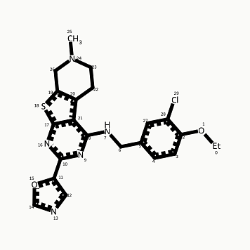 CCOc1ccc(CNc2nc(-c3cnco3)nc3sc4c(c23)CCN(C)C4)cc1Cl